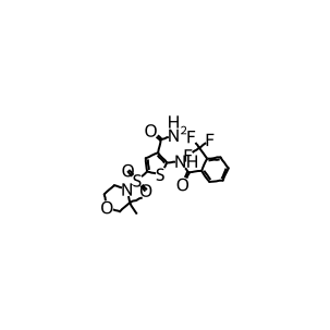 CC1(C)COCCN1S(=O)(=O)c1cc(C(N)=O)c(NC(=O)c2ccccc2C(F)(F)F)s1